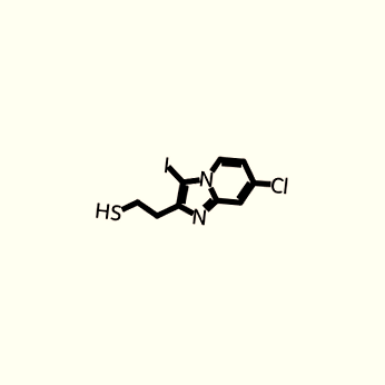 SCCc1nc2cc(Cl)ccn2c1I